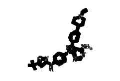 CCN1CCC(c2ccc(-c3nn(-c4ccc(Nc5cc(C(C)(C)C)on5)cc4)c4ncnc(N)c34)cc2)CC1